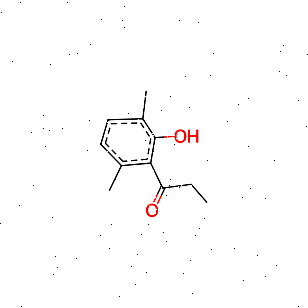 CCC(=O)c1c(C)ccc(C)c1O